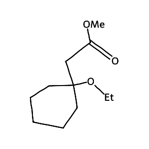 CCOC1(CC(=O)OC)CCCCC1